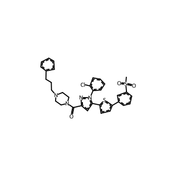 CS(=O)(=O)c1cccc(-c2ccc(-c3cc(C(=O)N4CCN(CCCc5ccccc5)CC4)nn3-c3ccccc3Cl)s2)c1